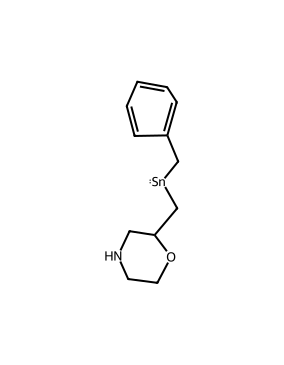 c1ccc([CH2][Sn][CH2]C2CNCCO2)cc1